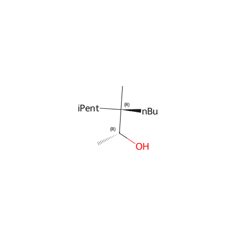 CCCC[C@](C)(C(C)CCC)[C@@H](C)O